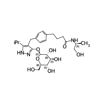 CC(C)c1[nH]nc(O[C@@H]2O[C@H](CO)[C@@H](O)[C@H](O)[C@H]2O)c1Cc1ccc(CCCC(=O)N[C@@H](C)CO)cc1